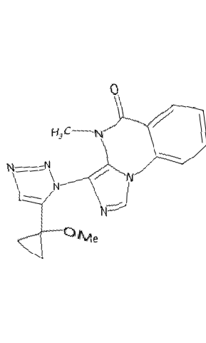 COC1(c2cnnn2-c2ncn3c4ccccc4c(=O)n(C)c23)CC1